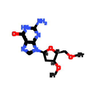 CC(C)OC[C@H]1O[C@H](n2cnc3c(=O)[nH]c(N)nc32)C[C@@H]1OC(C)C